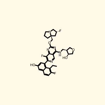 CCc1c(F)ccc2cc(O)cc(-c3ncc4c(NC[C@H]5COC[C@H]5O)nc(OC[C@@]56CCCN5C[C@H](F)C6)nc4c3F)c12